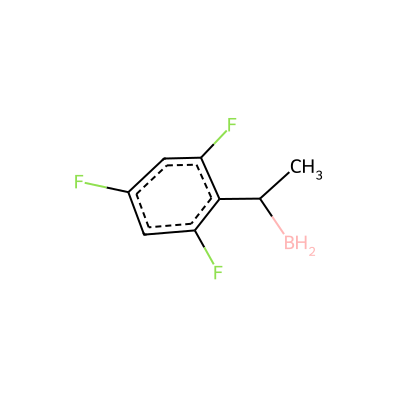 BC(C)c1c(F)cc(F)cc1F